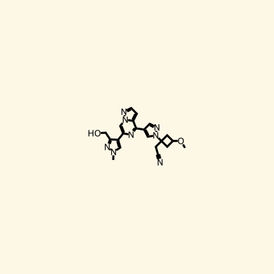 COC1CC(CC#N)(n2cc(-c3nc(-c4cn(C)nc4CO)cn4nccc34)cn2)C1